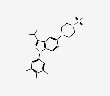 CC(C)c1nn(-c2cc(O)c(F)c(F)c2)c2ccc(N3CCN(S(C)(=O)=O)CC3)cc12